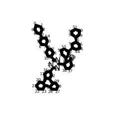 c1ccc(-c2ccc(-c3ccc(-c4nc(-c5ccc6c7ccccc7c7ccccc7c6c5)nc(-c5cccc6oc7c(-c8cccc(-c9ccccc9)c8)cccc7c56)n4)cc3)cc2)cc1